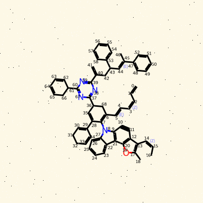 C=C/C=C\C=C\C1=C(n2c3c#cc4c(/C=C\C)c(C)oc4c3c3ccccc32)C(C2=CCCC=C2)=CC(c2nc(C(=C)CC(/C=C(\C)c3ccccc3)c3ccccc3)nc(C3C=CC=CC3)n2)C1